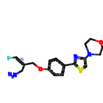 NC/C(=C\F)COc1ccc(-c2nc(N3CCOCC3)cs2)cc1